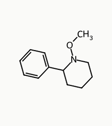 CON1CCCCC1c1ccccc1